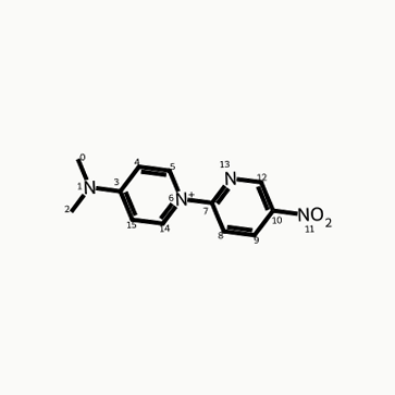 CN(C)c1cc[n+](-c2ccc([N+](=O)[O-])cn2)cc1